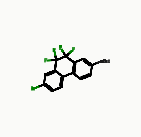 CCCCCCCCc1ccc2c(c1)C(F)(F)C(F)(F)c1cc(Br)ccc1-2